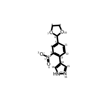 O=[N+]([O-])c1cc(C2OCCO2)ccc1-c1cn[nH]c1